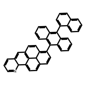 C1=CC2=CC3=C4C(=CC=C5C=CC(c6c7ccccc7c(-c7cccc8ccccc78)c7ccccc67)=C(C=C3)C54)C2N=C1